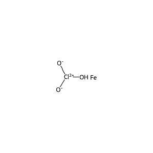 [Fe].[O-][Cl+2]([O-])O